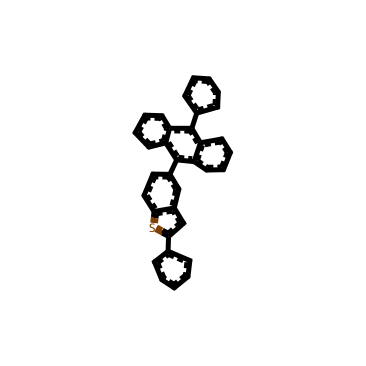 c1ccc(-c2cc3cc(-c4c5ccccc5c(-c5ccccc5)c5ccccc45)ccc3s2)cc1